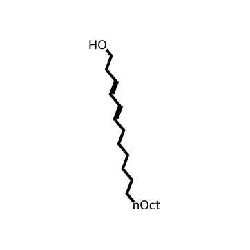 CCCCCCCCCCCCCC/C=C/C=C/CCO